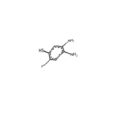 Nc1cc(F)c(S)cc1N